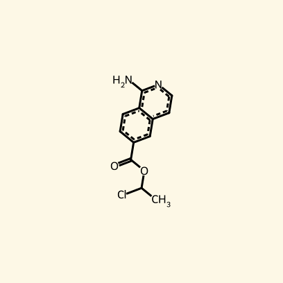 CC(Cl)OC(=O)c1ccc2c(N)nccc2c1